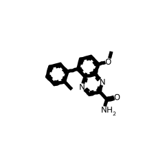 COc1ccc(-c2ccccc2C)c2ncc(C(N)=O)nc12